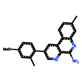 COc1ccc(-c2cnc3c(N)nc4cc(C)ccc4c3c2)c(C)c1